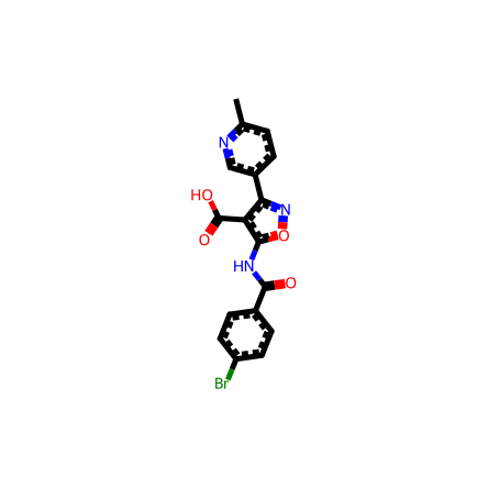 Cc1ccc(-c2noc(NC(=O)c3ccc(Br)cc3)c2C(=O)O)cn1